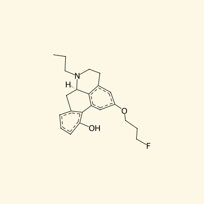 CCCN1CCc2cc(OCCCF)cc3c2[C@H]1Cc1cccc(O)c1-3